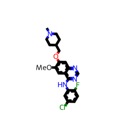 COc1cc2c(Nc3cc(Cl)ccc3F)ncnc2cc1OCC1CCN(C)CC1